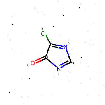 O=C1N=CN=C1Cl